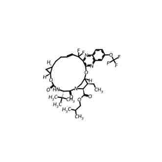 CC[C@@H]1[C@@H]2CN(C(=O)[C@H](C(C)(C)C)NC(=O)O[C@@H]3C[C@H]3CC/C=C/C(F)(F)c3nc4ccc(OC(F)(F)F)cc4nc3O2)[C@@H]1C(=O)OCC(C)C